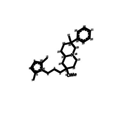 COC1(CCCn2c(C)ccc2C)CCN2CC(C)(c3ccccc3)CCC2C1